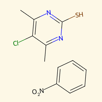 Cc1nc(S)nc(C)c1Cl.O=[N+]([O-])c1ccccc1